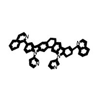 C1=C(c2nccc3ccccc23)CCc2c1c1cc3c(cc1n2-c1cccnc1)-c1cc2c(cc1CC3)c1cc(-c3nccc4ccccc34)ccc1n2-c1cccnc1